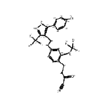 N#CC(=O)CCc1ccc(CCc2c(C(F)(F)F)nsc2-c2ccc(Cl)cc2)cc1OC(F)(F)F